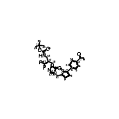 CC(=O)c1ccc(-c2ccc(Cn3cnn(CC(CNC(=O)OC(C)(C)C)=C(F)F)c3=O)s2)cc1